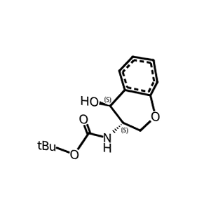 CC(C)(C)OC(=O)N[C@H]1COc2ccccc2[C@@H]1O